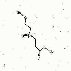 CC(C)(C)OCC[PH](=O)CCC(=O)OC(C)(C)C